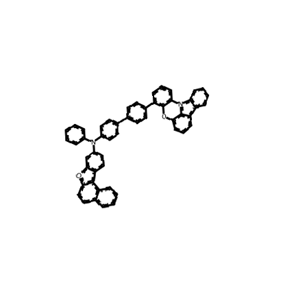 c1ccc(N(c2ccc(-c3ccc(-c4cccc5c4Oc4cccc6c7ccccc7n-5c46)cc3)cc2)c2ccc3c(c2)oc2ccc4ccccc4c23)cc1